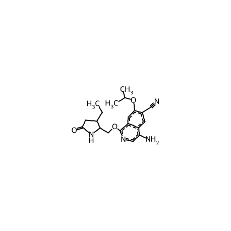 CCC1CC(=O)NC1COc1ncc(N)c2cc(C#N)c(OC(C)C)cc12